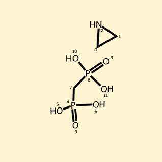 C1CN1.O=P(O)(O)CP(=O)(O)O